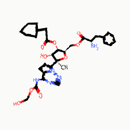 N#C[C@@]1(c2ccc3c(NC(=O)OCO)ncnn23)O[C@H](COC(=O)[C@@H](N)Cc2ccccc2)[C@@H](OC(=O)CC2CCCCC2)[C@H]1O